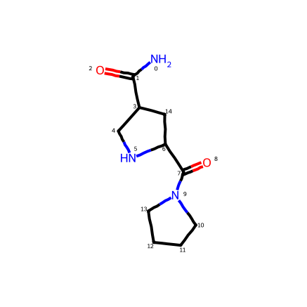 NC(=O)C1CNC(C(=O)N2CCCC2)C1